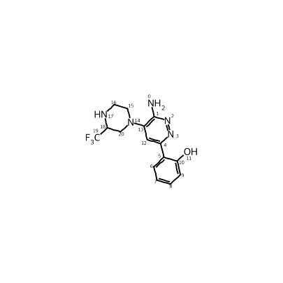 Nc1nnc(-c2ccccc2O)cc1N1CCNC(C(F)(F)F)C1